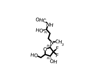 CN(CC[C@@H](O)NC=O)[C@@H]1OC(CO)[C@@H](O)C1(F)F